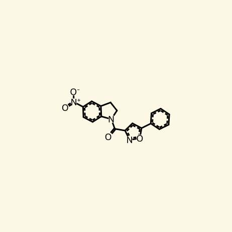 O=C(c1cc(-c2ccccc2)on1)N1CCc2cc([N+](=O)[O-])ccc21